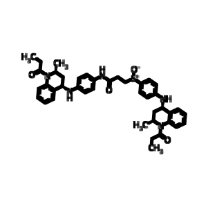 CCC(=O)N1c2ccccc2[C@H](Nc2ccc(NC(=O)CC[S+]([O-])c3ccc(N[C@@H]4C[C@H](C)N(C(=O)CC)c5ccccc54)cc3)cc2)C[C@@H]1C